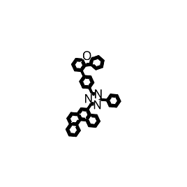 c1ccc(-c2nc(-c3ccc(-c4cccc5oc6ccccc6c45)cc3)nc(-c3cc4ccc5ccccc5c4c4ccccc34)n2)cc1